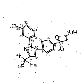 O=S(=O)(CCO)c1ccc(-c2cc(C(F)(F)F)nn2-c2cccc(Cl)c2)cc1